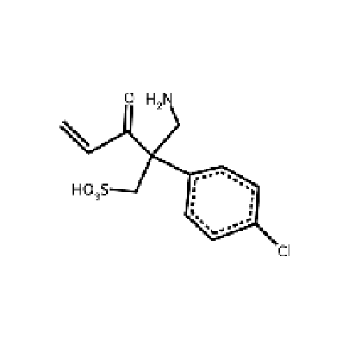 C=CC(=O)C(CN)(CS(=O)(=O)O)c1ccc(Cl)cc1